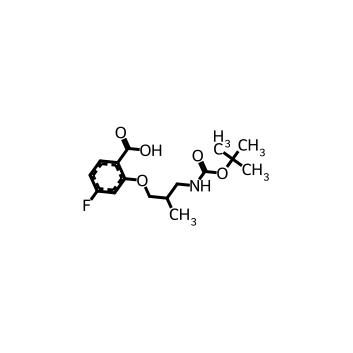 CC(CNC(=O)OC(C)(C)C)COc1cc(F)ccc1C(=O)O